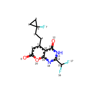 O=c1cc(CCC2(F)CC2)c2c(=O)[nH]c(C(F)F)nc2o1